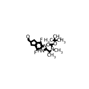 C[C@@H](c1nc2c(F)c3c(c(F)c2[nH]1)CC(C=O)C3)N(C)C(=O)OC(C)(C)C